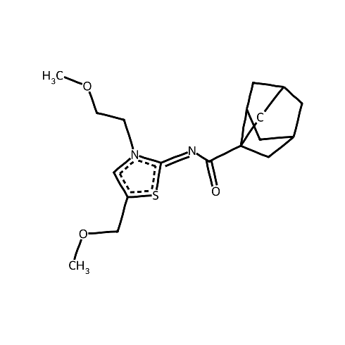 COCCn1cc(COC)sc1=NC(=O)C12CC3CC(CC1C3)C2